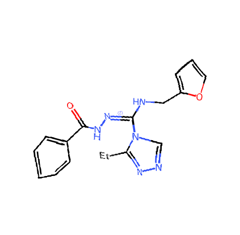 CCc1nncn1/C(=N\NC(=O)c1ccccc1)NCc1ccco1